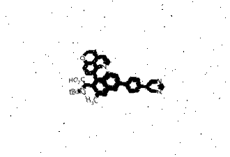 Cc1cc2cc(-c3ccc(-c4cncnc4)cc3)ccc2c(-c2ccc3c4c(ccnc24)CCO3)c1[C@H](OC(C)(C)C)C(=O)O